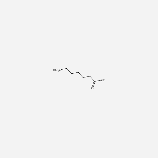 CC(C)C(=O)CCCCCC(=O)O